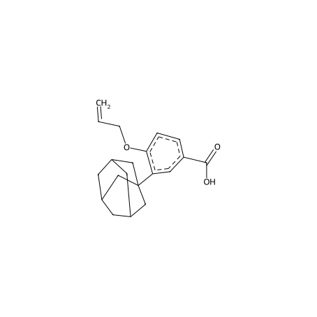 C=CCOc1ccc(C(=O)O)cc1C12CC3CC(CC(C3)C1)C2